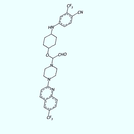 N#Cc1ccc(NC2CCC(OC(C=O)N3CCN(c4ccc5cc(C(F)(F)F)ccc5n4)CC3)CC2)cc1C(F)(F)F